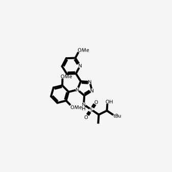 COc1cccc(-c2nnc(NS(=O)(=O)C(C)C(O)C(C)(C)C)n2-c2c(OC)cccc2OC)n1